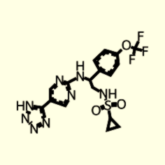 O=S(=O)(NCC(Nc1ncc(-c2nnn[nH]2)cn1)c1ccc(OC(F)(F)F)cc1)C1CC1